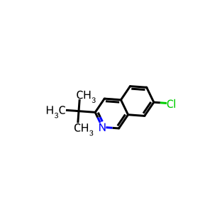 CC(C)(C)c1cc2ccc(Cl)cc2cn1